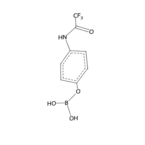 O=C(Nc1ccc(OB(O)O)cc1)C(F)(F)F